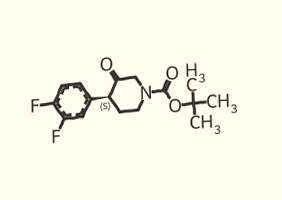 CC(C)(C)OC(=O)N1CC[C@@H](c2ccc(F)c(F)c2)C(=O)C1